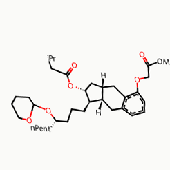 CCCCC[C@@H](CCC[C@@H]1[C@H]2Cc3cccc(OCC(=O)OC)c3C[C@H]2C[C@H]1OC(=O)CC(C)C)OC1CCCCO1